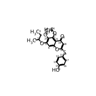 CCC(C)Oc1cc2oc(Sc3ccc(O)cc3)cc(=O)c2c(OC)c1OC